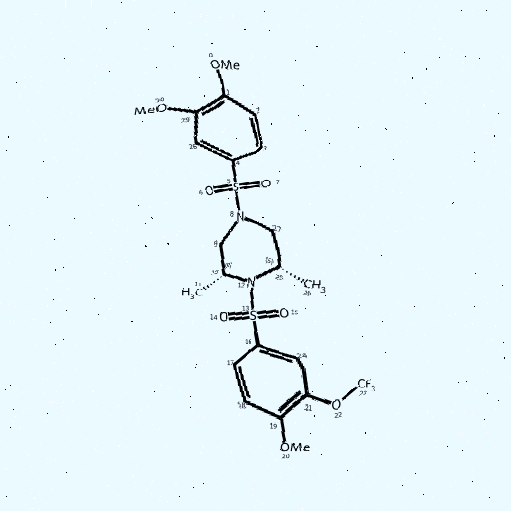 COc1ccc(S(=O)(=O)N2C[C@@H](C)N(S(=O)(=O)c3ccc(OC)c(OC(F)(F)F)c3)[C@@H](C)C2)cc1OC